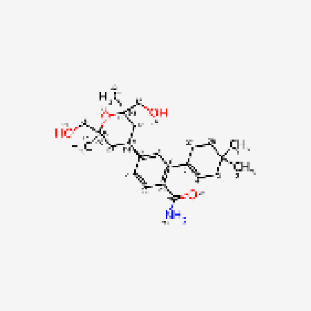 CC1(C)CC=C(c2cc([C@@H]3C[C@](C)(CO)O[C@](C)(CO)C3)ccc2C(N)=O)CC1